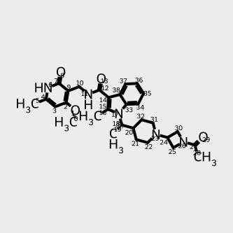 COc1cc(C)[nH]c(=O)c1CNC(=O)c1c(C)n([C@H](C)C2CCN(C3CN(C(C)=O)C3)CC2)c2ccccc12